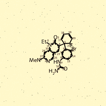 CCn1c(=O)c(C2(c3cc(NC(N)=O)ccc3Br)C=CC=CC2F)cc2cnc(NC)cc21